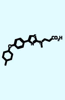 CC1CCC(Oc2ccc(-c3csc(N(C)CCC(=O)O)n3)cc2)CC1